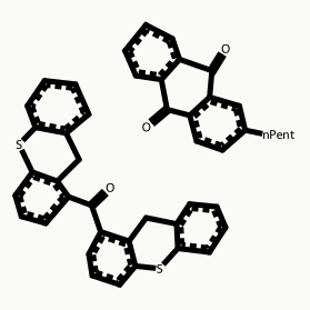 CCCCCc1ccc2c(c1)C(=O)c1ccccc1C2=O.O=C(c1cccc2c1Cc1ccccc1S2)c1cccc2c1Cc1ccccc1S2